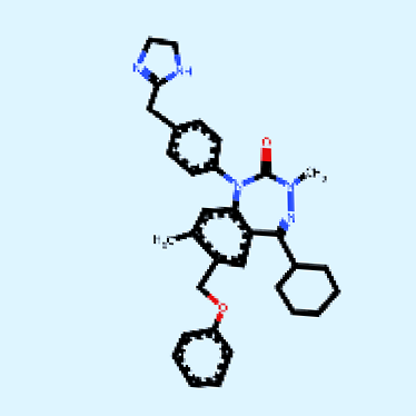 Cc1cc2c(cc1COc1ccccc1)C(C1CCCCC1)=NN(C)C(=O)N2c1ccc(CC2=NCCN2)cc1